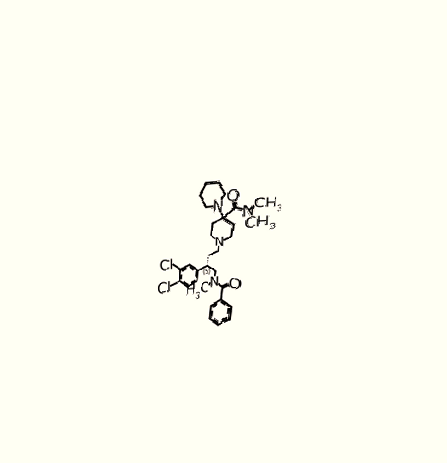 CN(C)C(=O)C1(N2CCCCC2)CCN(CC[C@H](CN(C)C(=O)c2ccccc2)c2ccc(Cl)c(Cl)c2)CC1